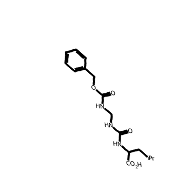 CC(C)CC(NC(=O)NCNC(=O)OCc1ccccc1)C(=O)O